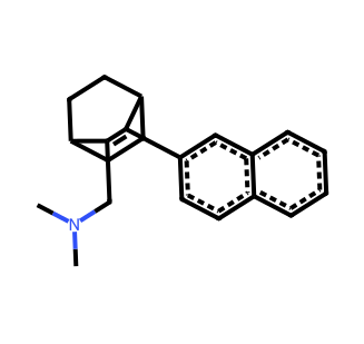 CN(C)CC1=C(c2ccc3ccccc3c2)C2CCC1CC2